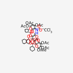 CO[C@H]1O[C@H](C(O)Cc2ccccc2)[C@@H](O[C@@H]2O[C@H](CO[C@@H]3O[C@H](COC(C)=O)[C@@H](OC(C)=O)[C@H](OC(C)=O)[C@H]3NC(=O)OCC(Cl)(Cl)Cl)[C@H](OC(=O)c3ccccc3)[C@H](OC(=O)c3ccccc3)[C@H]2OC(=O)c2ccccc2)[C@H](OC(C)=O)[C@H]1OC(C)=O